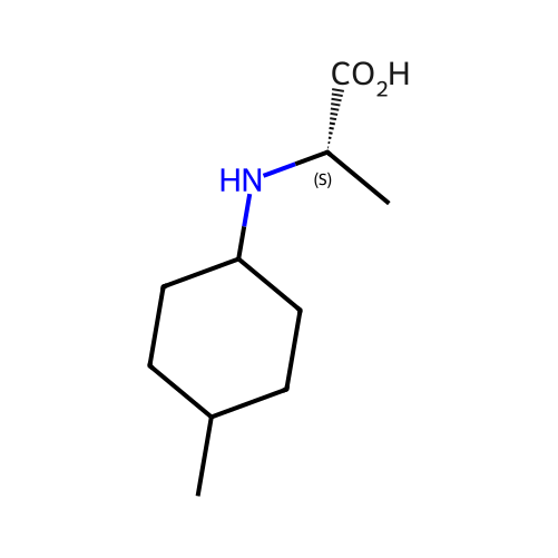 CC1CCC(N[C@@H](C)C(=O)O)CC1